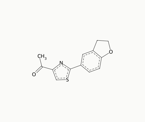 CC(=O)c1csc(-c2ccc3c(c2)CCO3)n1